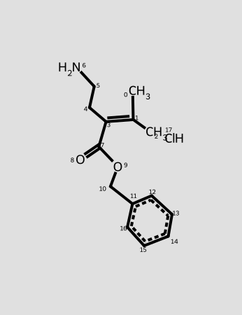 CC(C)=C(CCN)C(=O)OCc1ccccc1.Cl